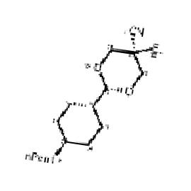 CCCCC[C@H]1CC[C@H]([C@H]2OC[C@](C#N)(CC)CO2)CC1